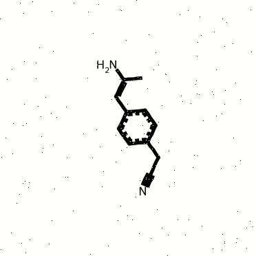 C/C(N)=C\c1ccc(CC#N)cc1